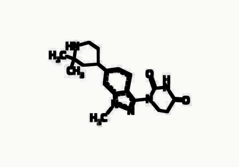 Cn1nc(N2CCC(=O)NC2=O)c2ccc(C3CCNC(C)(C)C3)cc21